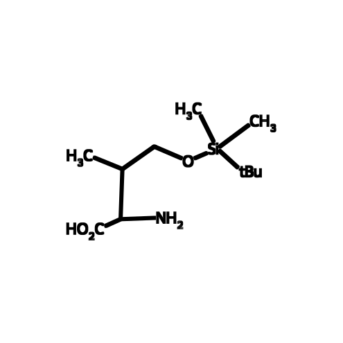 CC(CO[Si](C)(C)C(C)(C)C)C(N)C(=O)O